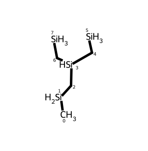 C[SiH2]C[SiH](C[SiH3])C[SiH3]